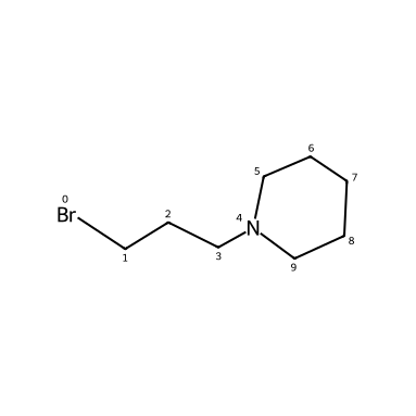 BrCCCN1CCCCC1